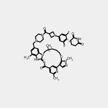 Cc1cc2cc(n1)-c1cnn(C)c1OCCC[C@H](C)CN1/C(=N/C2=O)Nc2c(C)cc(CN3CCN(C(=O)C4CN(c5cc(F)c([C@H]6CCC(=O)NC6=O)c(F)c5)C4)CC3)cc21